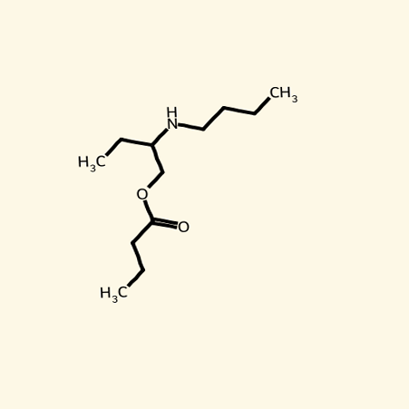 CCCCNC(CC)COC(=O)CCC